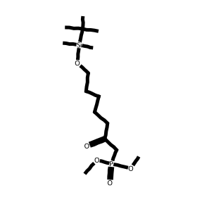 COP(=O)(CC(=O)CCCCCO[Si](C)(C)C(C)(C)C)OC